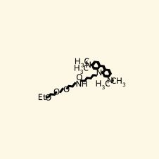 CCOCCOCCOCCCNC(=O)CCCCC[n+]1c2cc(N(C)C)ccc2cc2ccc(N(C)C)cc21